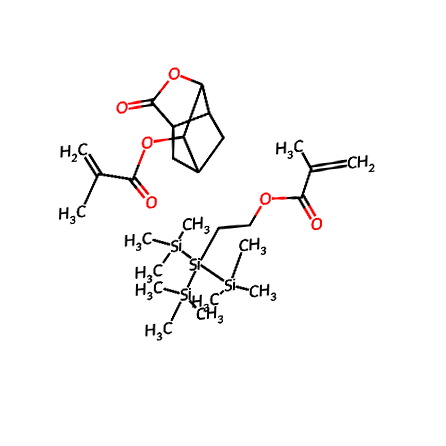 C=C(C)C(=O)OC1C2CC3C(=O)OC1C3C2.C=C(C)C(=O)OCC[Si]([Si](C)(C)C)([Si](C)(C)C)[Si](C)(C)C